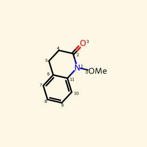 CON1C(=O)CCc2ccccc21